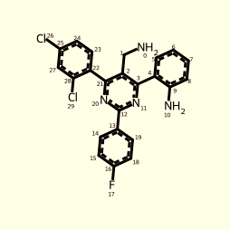 NCc1c(-c2ccccc2N)nc(-c2ccc(F)cc2)nc1-c1ccc(Cl)cc1Cl